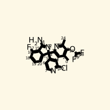 Cc1cc(C2(c3ccnc(Cl)c3)N=C(N)c3c(F)cccc32)nc(C)c1OC(F)F